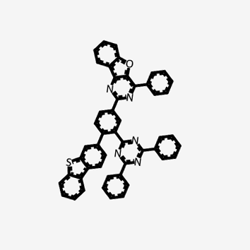 c1ccc(-c2nc(-c3ccccc3)nc(-c3cc(-c4nc(-c5ccccc5)c5oc6ccccc6c5n4)ccc3-c3ccc4c(c3)sc3ccccc34)n2)cc1